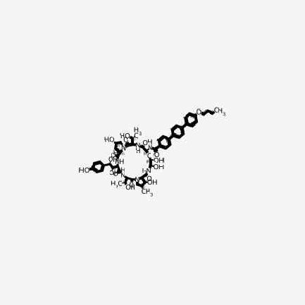 CCCCOc1ccc(-c2ccc(-c3ccc(C(=O)N[C@H]4C[C@@H](O)[C@@H](O)NC(=O)C5[C@@H](O)[C@@H](C)CN5C(=O)C([C@@H](C)O)NC(=O)C([C@H](O)[C@@H](O)c5ccc(O)cc5)NC(=O)[C@@H]5C[C@@H](O)CN5C(=O)C([C@@H](C)O)NC4=O)cc3)cc2)cc1